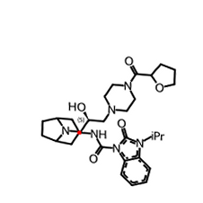 CC(C)n1c(=O)n(C(=O)NC2CC3CCC(C2)N3C[C@@H](O)CN2CCN(C(=O)C3CCCO3)CC2)c2ccccc21